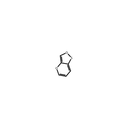 C1=COC2=COSC2=C1